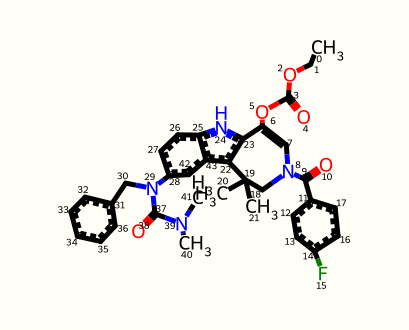 CCOC(=O)OC1=CN(C(=O)c2ccc(F)cc2)CC(C)(C)c2c1[nH]c1ccc(N(Cc3ccccc3)C(=O)N(C)C)cc21